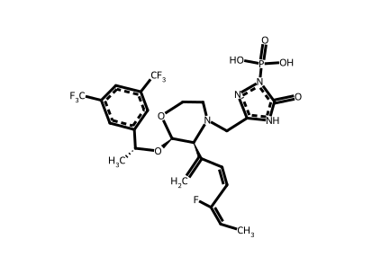 C=C(/C=C\C(F)=C/C)[C@H]1[C@@H](O[C@H](C)c2cc(C(F)(F)F)cc(C(F)(F)F)c2)OCCN1Cc1nn(P(=O)(O)O)c(=O)[nH]1